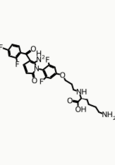 NCCCC[C@H](NCCCOc1cc(F)c(-n2c(N)c(C(=O)c3ccc(F)cc3F)ccc2=O)c(F)c1)C(=O)O